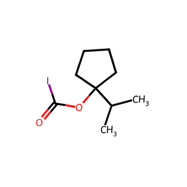 CC(C)C1(OC(=O)I)CCCC1